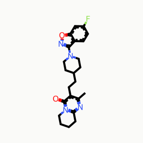 Cc1nc2n(c(=O)c1CCC1CCN(c3noc4cc(F)ccc34)CC1)CCCC2